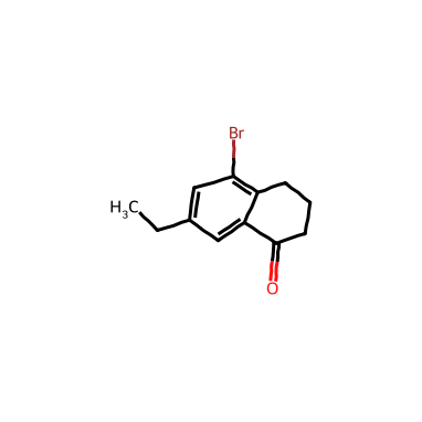 CCc1cc(Br)c2c(c1)C(=O)CCC2